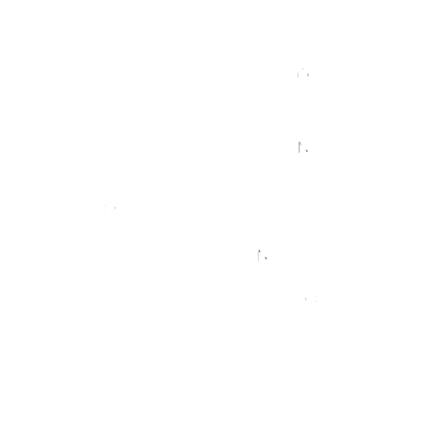 COC(=O)c1ccc2c(c1)c1c(n2CCCN2CC(C)OC(C)C2)C(=O)CCC1